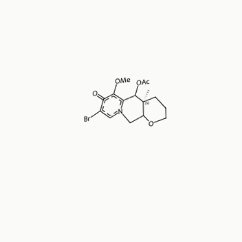 COc1c2n(cc(Br)c1=O)CC1OCCC[C@]1(C)C2OC(C)=O